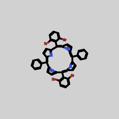 Brc1cccc(Br)c1-c1c2nc(c(-c3ccccc3)c3ccc([nH]3)c(-c3c(Br)cccc3Br)c3nc(c(-c4ccccc4)c4ccc1[nH]4)C=C3)C=C2